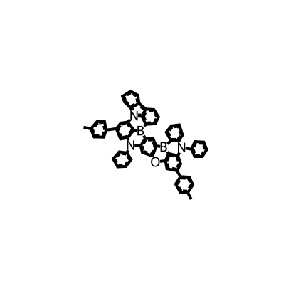 Cc1ccc(-c2cc3c4c(c2)N(c2ccccc2)c2ccccc2B4c2cc4c(cc2O3)N(c2ccccc2)c2cc(-c3ccc(C)cc3)cc3c2B4c2cccc4c5ccccc5n-3c24)cc1